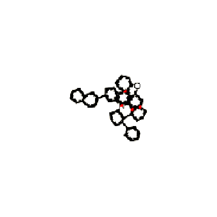 c1ccc(-c2ccccc2-c2c(-c3ccccc3)cccc2N(c2cccc(-c3ccc4ccccc4c3)c2)c2cccc3oc4ccccc4c23)cc1